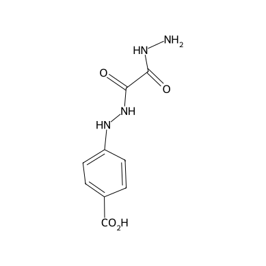 NNC(=O)C(=O)NNc1ccc(C(=O)O)cc1